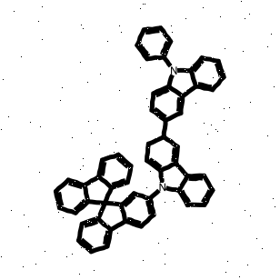 C1=c2c(n(-c3ccc4c(c3)C3(c5ccccc5-c5ccccc53)c3ccccc3-4)c3ccccc23)=CCC1c1ccc2c(c1)c1ccccc1n2-c1ccccc1